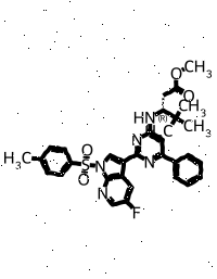 COC(=O)C[C@@H](Nc1cc(-c2ccccc2)nc(-c2cn(S(=O)(=O)c3ccc(C)cc3)c3ncc(F)cc23)n1)C(C)(C)C